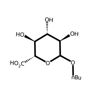 CCCCOC1O[C@H](C(=O)O)[C@@H](O)[C@H](O)[C@H]1O